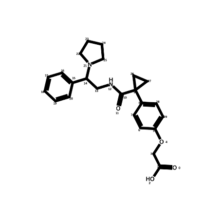 O=C(O)COc1ccc(C2(C(=O)NCC(c3ccccc3)N3CCCC3)CC2)cc1